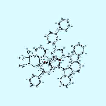 CC1CC(C)(C)c2c(-c3ccc(-n4c5ccccc5c5ccc6c7ccccc7n(-c7nc(-c8ccc(-c9ccccc9)cc8)nc(-c8cccc(-c9ccccc9)c8)n7)c6c54)cc3)cccc2C1(C)C